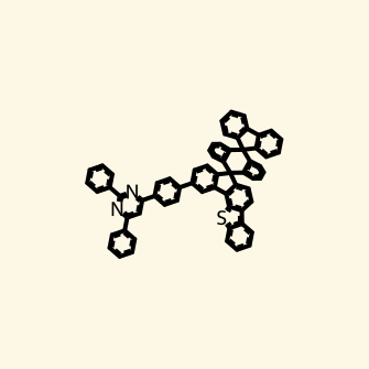 c1ccc(-c2cc(-c3ccc(-c4ccc5c(c4)-c4c(ccc6c4sc4ccccc46)C54c5ccccc5C5(c6ccccc6-c6ccccc65)c5ccccc54)cc3)nc(-c3ccccc3)n2)cc1